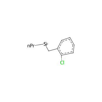 CCC[Si]Cc1ccccc1Cl